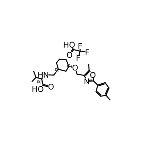 Cc1ccc(-c2nc(CO[C@@H]3CCC[C@H](CN[C@H](C(=O)O)C(C)C)C3)c(C)o2)cc1.O=C(O)C(F)(F)F